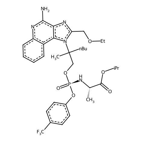 CCCCC(C)(CO[P@](=O)(N[C@@H](C)C(=O)OC(C)C)Oc1ccc(C(F)(F)F)cc1)n1c(COCC)nc2c(N)nc3ccccc3c21